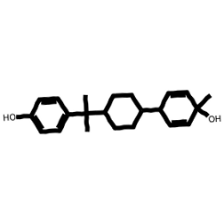 CC1(O)C=CC(C2CCC(C(C)(C)c3ccc(O)cc3)CC2)C=C1